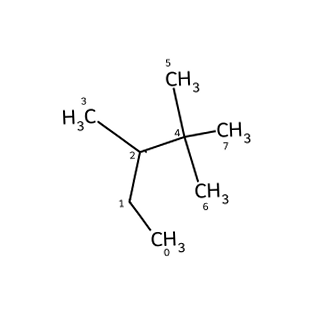 CC[C](C)C(C)(C)C